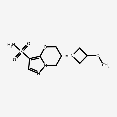 COC1CN([C@H]2COc3c(S(N)(=O)=O)cnn3C2)C1